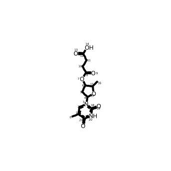 Cc1cn(C2CC(OC(=O)CCC(=O)O)C(C)O2)c(=O)[nH]c1=O